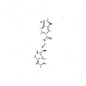 O=C(NCCNc1nsc2ccccc12)c1ccc2[nH]cnc2c1